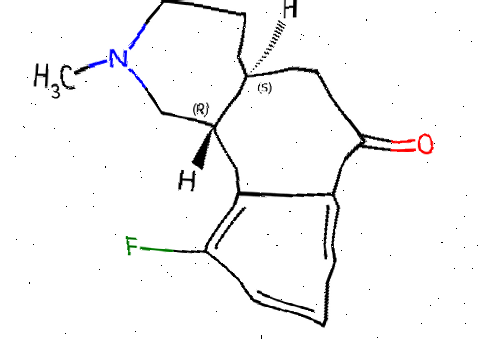 CN1CC[C@H]2CC(=O)c3cccc(F)c3[C@@H]2C1